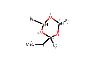 CC[SiH]1O[SiH](CC)O[Si](CC)(COC)O1